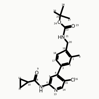 Cc1cc(-c2cc(NC(=O)C3CC3)ncc2Cl)ccc1CNC(=O)OC(C)(C)C